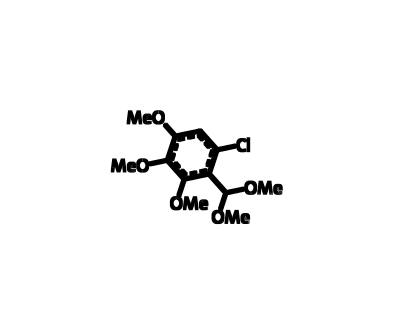 COc1cc(Cl)c(C(OC)OC)c(OC)c1OC